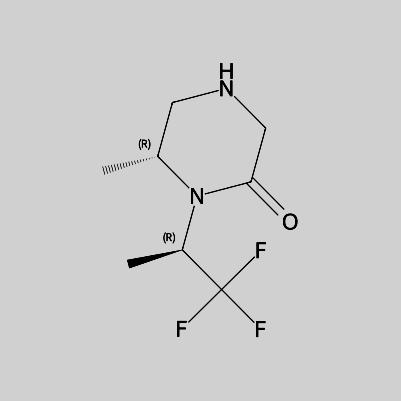 C[C@@H]1CNCC(=O)N1[C@H](C)C(F)(F)F